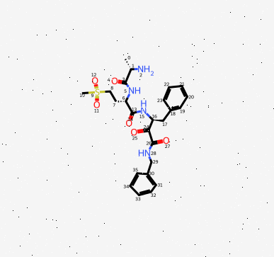 C[C@H](N)C(=O)N[C@@H](CCS(C)(=O)=O)C(=O)N[C@@H](Cc1ccccc1)C(=O)C(=O)NCc1ccccc1